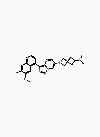 COc1cc2c(-c3cnn4cc(N5CC6(CC(N(C)C)C6)C5)cnc34)ccnc2cc1C